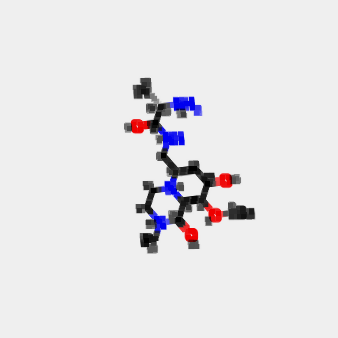 CCCCOc1c2n(c(CNC(=O)[C@@H](N)C(C)C)cc1=O)CCN(C(C)C)C2=O